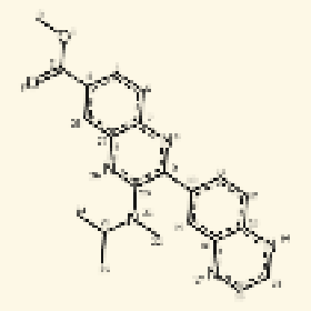 COC(=O)c1ccc2nc(-c3ccc4nccnc4c3)c(N(C)C(C)C)nc2c1